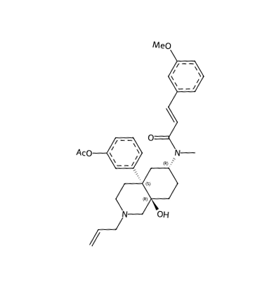 C=CCN1CC[C@@]2(c3cccc(OC(C)=O)c3)C[C@H](N(C)C(=O)C=Cc3cccc(OC)c3)CC[C@]2(O)C1